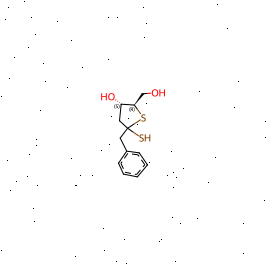 OC[C@H]1SC(S)(Cc2ccccc2)C[C@@H]1O